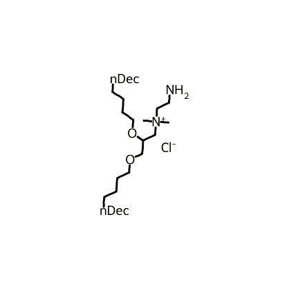 CCCCCCCCCCCCCCOCC(C[N+](C)(C)CCN)OCCCCCCCCCCCCCC.[Cl-]